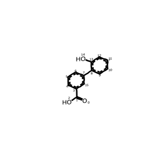 O=C(O)c1cccc(-c2cc[c]cc2O)c1